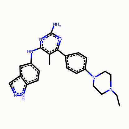 CCN1CCN(c2ccc(-c3nc(N)nc(Nc4ccc5[nH]ncc5c4)c3C)cc2)CC1